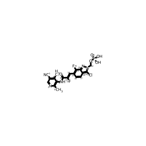 Cc1ncc(C#N)c(C)c1NC(=O)/C(F)=C/c1ccc2c(Cl)n(COP(=O)(O)O)nc2c1F